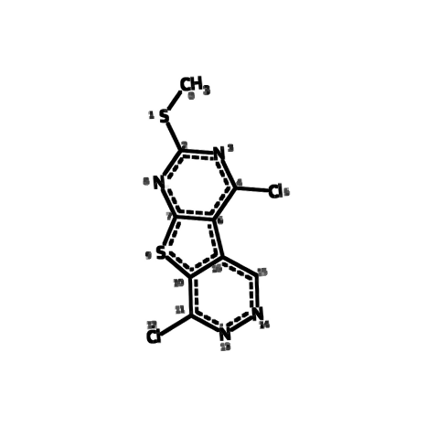 CSc1nc(Cl)c2c(n1)sc1c(Cl)nncc12